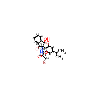 CC(C)c1ccc2c(c1)OC1(O)c3ccccc3C(=O)C21NC(=O)C(=O)CBr